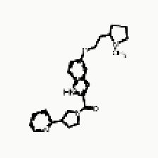 CN1CCCC1CCOc1ccc2[nH]c(C(=O)N3CCC(c4ccccn4)C3)cc2c1